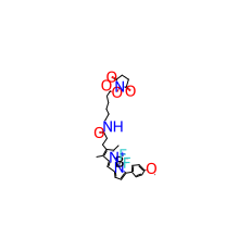 COc1ccc(-c2ccc3n2[B-](F)(F)[N+]2=C(C)C(CCC(=O)NCCCCCC(=O)ON4C(=O)CCC4=O)=C(C)C2=C3)cc1